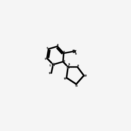 CN1C=CC=C(Br)C1N1CCCC1